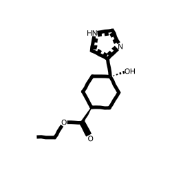 CCOC(=O)[C@H]1CC[C@@](O)(c2c[nH]cn2)CC1